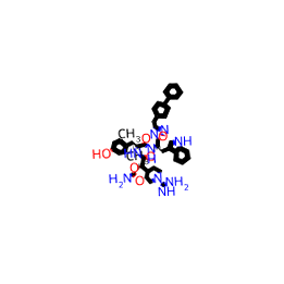 Cc1cc(O)cc(C)c1C[C@H](NC(=O)[C@H](OC(N)=O)C1CCN(C(=N)N)CC1)C(=O)N[C@@H](Cc1c[nH]c2ccccc12)c1nc(Cc2ccc(-c3ccccc3)cc2)no1